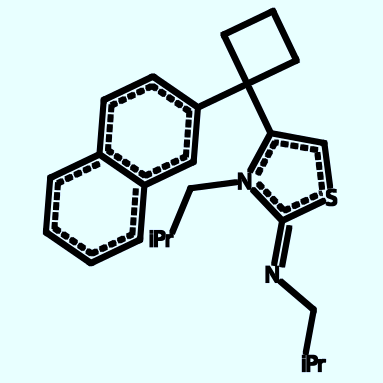 CC(C)CN=c1scc(C2(c3ccc4ccccc4c3)CCC2)n1CC(C)C